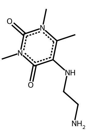 Cc1c(NCCN)c(=O)n(C)c(=O)n1C